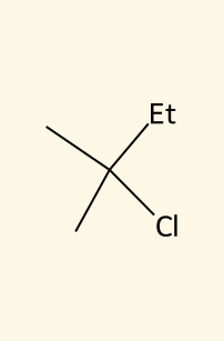 [CH2]CC(C)(C)Cl